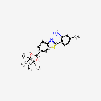 Cc1ccc(-c2nc3ccc(B4OC(C)(C)C(C)(C)O4)cc3s2)c(N)c1